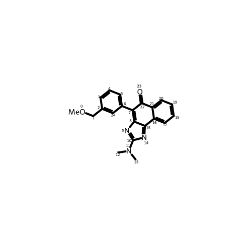 COCc1cccc(C2=C3N=C(N(C)C)N=C3c3ccccc3C2=O)c1